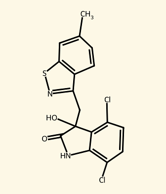 Cc1ccc2c(CC3(O)C(=O)Nc4c(Cl)ccc(Cl)c43)nsc2c1